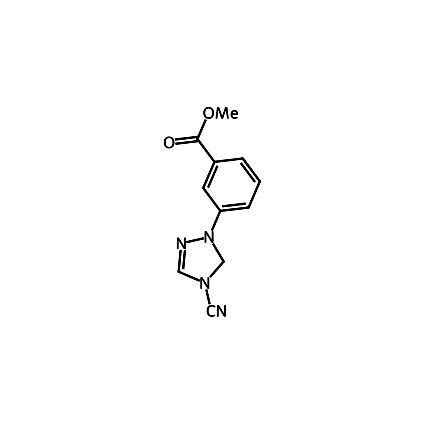 COC(=O)c1cccc(N2CN(C#N)C=N2)c1